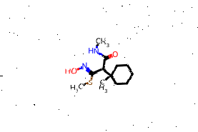 CNC(=O)C(C(=NO)SC)C1(C)CCCCC1